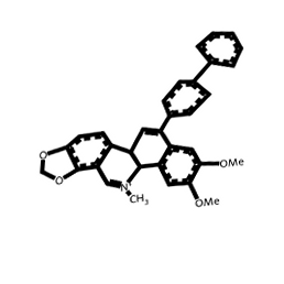 COc1cc2c(cc1OC)C1C(C=C2c2ccc(-c3ccccc3)cc2)c2ccc3c(c2C=[N+]1C)OCO3